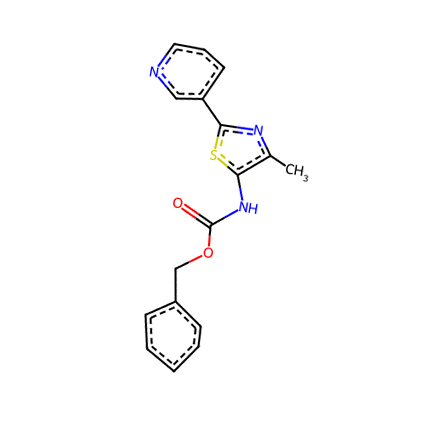 Cc1nc(-c2cccnc2)sc1NC(=O)OCc1ccccc1